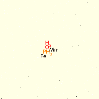 O.P.[Fe].[Mn]